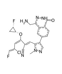 Cn1ncc(-c2ccc3c(=O)[nH]nc(CN)c3c2)c1/C=C(C#N)/C(=C\C(Cl)=C\F)O[C@@H]1C[C@@H]1F